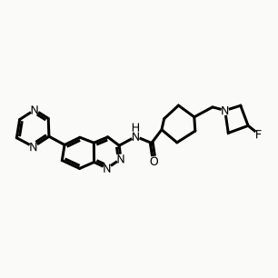 O=C(Nc1cc2cc(-c3cnccn3)ccc2nn1)C1CCC(CN2CC(F)C2)CC1